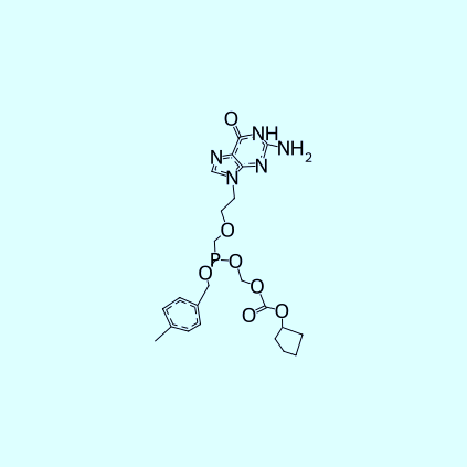 Cc1ccc(COP(COCCn2cnc3c(=O)[nH]c(N)nc32)OCOC(=O)OC2CCCC2)cc1